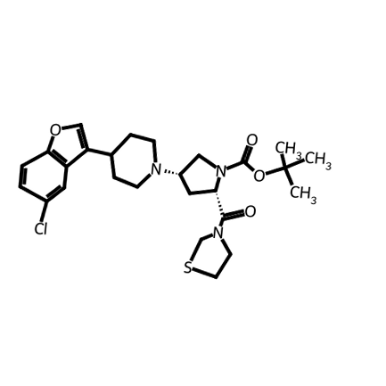 CC(C)(C)OC(=O)N1C[C@@H](N2CCC(c3coc4ccc(Cl)cc34)CC2)C[C@H]1C(=O)N1CCSC1